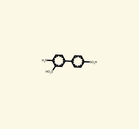 Nc1ccc(-c2ccc(S(=O)(=O)O)cc2)cc1S(=O)(=O)O